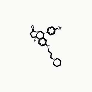 O=C1CC[C@@H]2c3ccc(OCCCN4CCCCC4)cc3[C@@H](c3ccc(Br)cc3)CN12